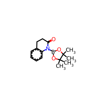 CC1(C)OB(N2C(=O)CCc3ccccc32)OC1(C)C